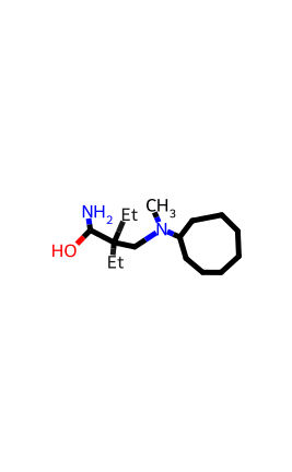 CCC(CC)(CN(C)C1CCCCCCC1)C(N)O